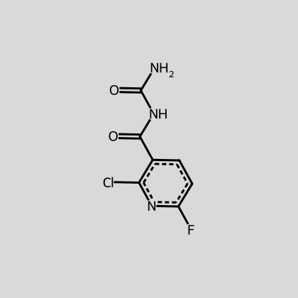 NC(=O)NC(=O)c1ccc(F)nc1Cl